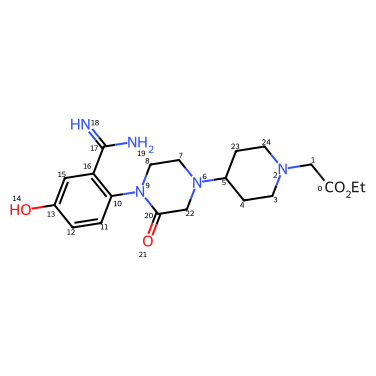 CCOC(=O)CN1CCC(N2CCN(c3ccc(O)cc3C(=N)N)C(=O)C2)CC1